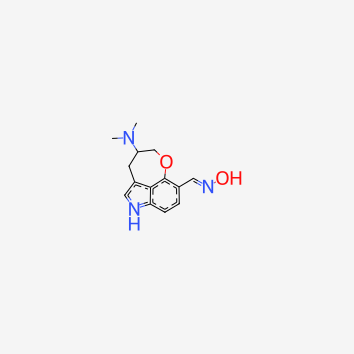 CN(C)C1COc2c(C=NO)ccc3[nH]cc(c23)C1